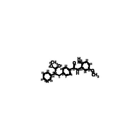 COC(=O)N(Cc1ccc(C(=O)Nc2cc(OC)ccc2N)cc1)c1cccnc1